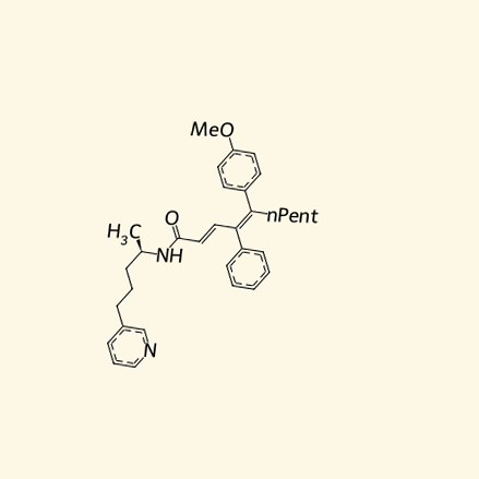 CCCCC/C(=C(/C=C/C(=O)N[C@H](C)CCCc1cccnc1)c1ccccc1)c1ccc(OC)cc1